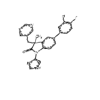 CC1(Cc2cncnc2)C(=O)N(c2c[nH]cn2)c2ccc(-c3ccc(F)c(Cl)c3)cc21